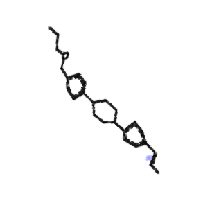 C/C=C/c1ccc(C2CCC(c3ccc(COCCC)cc3)CC2)cc1